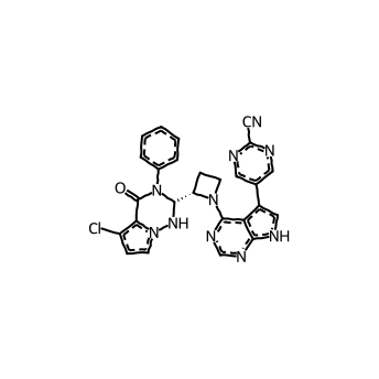 N#Cc1ncc(-c2c[nH]c3ncnc(N4CC[C@H]4C4Nn5ccc(Cl)c5C(=O)N4c4ccccc4)c23)cn1